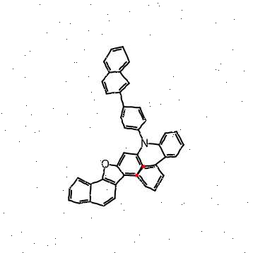 c1ccc(-c2ccccc2N(c2ccc(-c3ccc4ccccc4c3)cc2)c2ccc3c(c2)oc2c4ccccc4ccc32)cc1